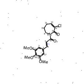 COc1cc(/C=C/C(=O)N2CCCC=C(Cl)C2=O)cc(OC)c1OC